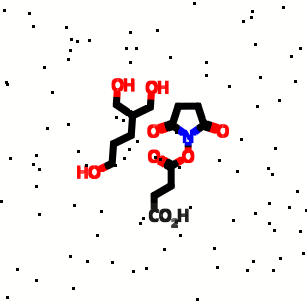 O=C(O)CCC(=O)ON1C(=O)CCC1=O.OCCCC(CO)CO